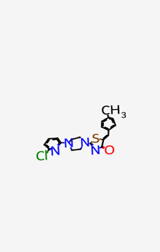 Cc1ccc(/C=C2\SC(N3CCN(c4cccc(Cl)n4)CC3)=NC2=O)cc1